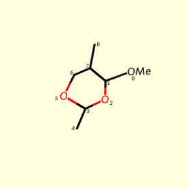 COC1OC(C)OCC1C